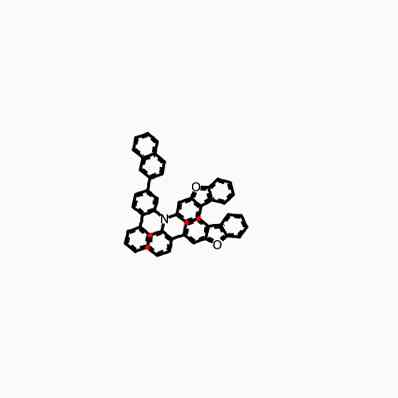 c1ccc(-c2ccc(-c3ccc4ccccc4c3)cc2N(c2ccc3c(c2)oc2ccccc23)c2ccccc2-c2ccc3c(c2)oc2ccccc23)cc1